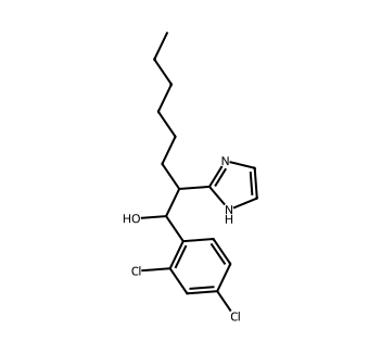 CCCCCCC(c1ncc[nH]1)C(O)c1ccc(Cl)cc1Cl